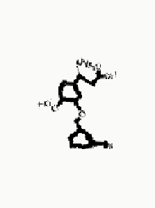 Cl.N#Cc1cccc(COc2cc([C@H](CN)CC(=O)O)ccc2Cl)c1